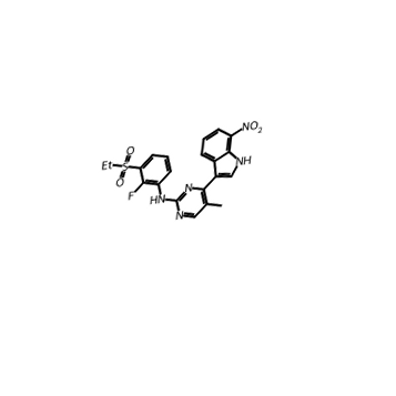 CCS(=O)(=O)c1cccc(Nc2ncc(C)c(-c3c[nH]c4c([N+](=O)[O-])cccc34)n2)c1F